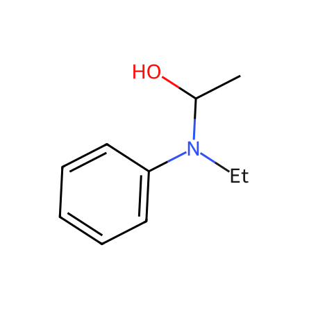 CCN(c1ccccc1)C(C)O